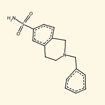 NS(=O)(=O)c1ccc2c(c1)CCN(Cc1ccccc1)C2